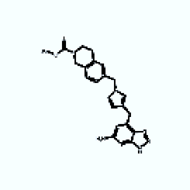 CC(C)(C)OC(=O)N1CCc2cc(Cn3cc(Cc4cc(N)nc5[nH]nnc45)cn3)ccc2C1